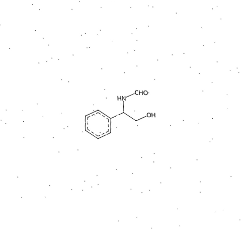 O=[C]NC(CO)c1ccccc1